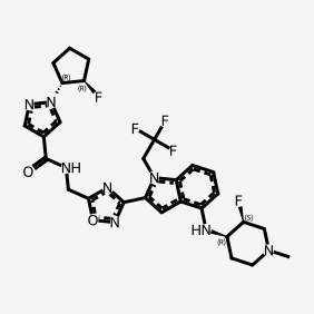 CN1CC[C@@H](Nc2cccc3c2cc(-c2noc(CNC(=O)c4cnn([C@@H]5CCC[C@H]5F)c4)n2)n3CC(F)(F)F)[C@@H](F)C1